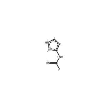 CC(=N)Nc1cc[nH]n1